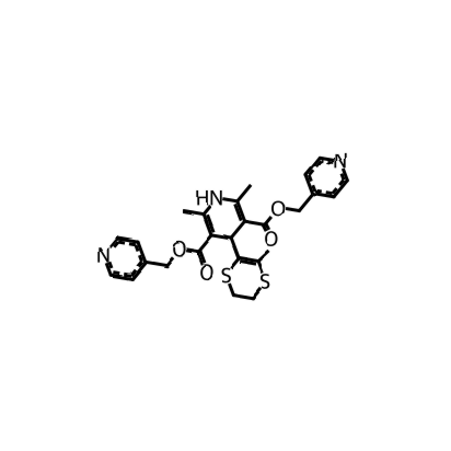 CC1=C(C(=O)OCc2ccncc2)C(C2=C(C)SCCS2)C(C(=O)OCc2ccncc2)=C(C)N1